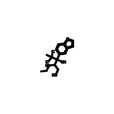 CCNC(CO)C(O)(c1ccc2occc2c1)C(C)(Cl)Cl